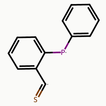 S=[C]c1ccccc1[P]c1ccccc1